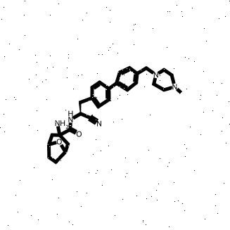 CN1CCN(Cc2ccc(-c3ccc(C[C@@H](C#N)NC(=O)C4(N)CC5CCC(C4)O5)cc3)cc2)CC1